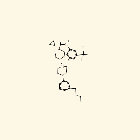 CCOC(=O)c1cccc([C@@H]2CCN([C@@H]3CC[C@@](C(=O)N(C)c4cc(F)cc(C(F)(F)F)c4)(C4CC4)OC3)C[C@H]2C)c1